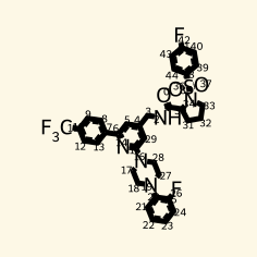 O=C(NCc1cc(-c2ccc(C(F)(F)F)cc2)nc(N2CCN(c3ccccc3F)CC2)c1)C1CCCN1S(=O)(=O)c1ccc(F)cc1